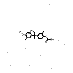 CCC(C)C(=O)Oc1ccc(C(C)(CC(C)C)c2ccc(OC(C)C)c(C)c2)cc1C